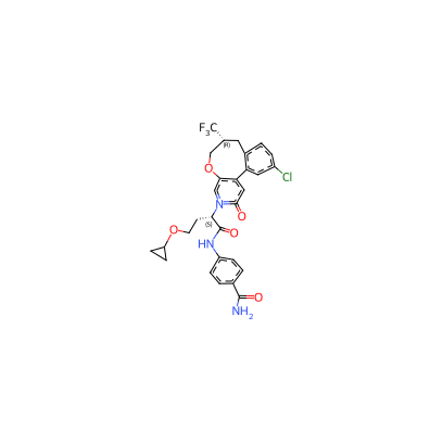 NC(=O)c1ccc(NC(=O)[C@H](CCOC2CC2)n2cc3c(cc2=O)-c2cc(Cl)ccc2C[C@@H](C(F)(F)F)CO3)cc1